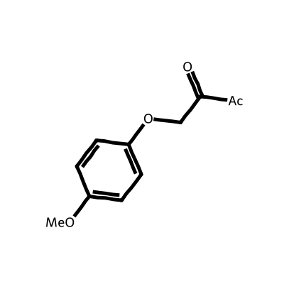 COc1ccc(OCC(=O)C(C)=O)cc1